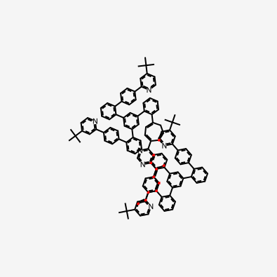 C=CC/C(=C\C=C(/C)c1cc(C2=CC=C(c3ccccc3-c3cc(-c4ccccc4-c4ccc(-c5cc(C(C)(C)C)ccn5)cc4)cc(-c4ccccc4-c4ccc(-c5cc(C(C)(C)C)ccn5)cc4)c3)CC=C2)ncn1)c1ccccc1-c1cc(-c2ccccc2-c2ccc(-c3cc(C(C)(C)C)ccn3)cc2)cc(-c2ccccc2-c2ccc(-c3cc(C(C)(C)C)ccn3)cc2)c1